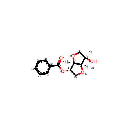 C[C@@]1(O)CO[C@@H]2[C@@H](OC(=O)c3ccccc3)CO[C@@H]21